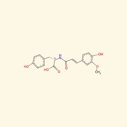 COc1cc(C=CC(=O)N[C@@H](Cc2ccc(O)cc2)C(=O)O)ccc1O